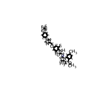 COC(C)c1ccc(C)cc1N1C(=O)CS/C1=N\C(=O)Nc1c(F)cc(OCc2ncn(-c3ccc(OC(F)(F)F)cc3)n2)cc1F